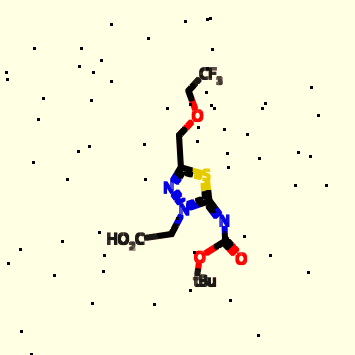 CC(C)(C)OC(=O)N=c1sc(COCC(F)(F)F)nn1CC(=O)O